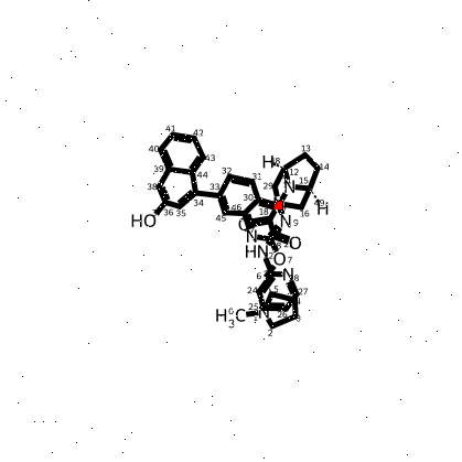 CN1CCC[C@H]1COc1nc(N2[C@@H]3CC[C@H]2CN(C(=O)C(=O)Nc2ccccn2)C3)c2ccc(-c3cc(O)cc4ccccc34)cc2n1